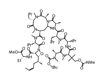 C/C=C\C[C@H](C)[C@H]1ON(C(=O)[C@@H](C(C)C)N(C)C(=O)[C@@H]2CC(C)N(C(=O)[C@@H](C)NC(=O)[C@H](CC(C)C)N(C)C(=O)[C@H](NC(=O)[C@H](N(C)C(=O)[C@H](C)N(C)C(=O)OC(C)(C)C)C(C)(C)COC(=O)NC)C(C)C)[C@H](C)C(=O)N(C)[C@@H](CC(C)C)C(=O)N2C)[C@@H]1C(=O)N[C@H](CC)C(=O)OC